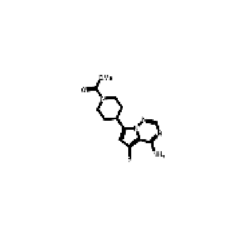 COC(=O)N1CCC(c2cc(Br)c3c(N)ncnn23)CC1